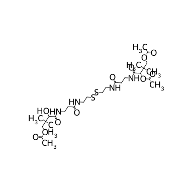 CC(=O)OCC(C)(C)C(O)C(=O)NCCC(=O)NCCSSCCNC(=O)CCNC(=O)C(OC(C)=O)C(C)(C)COC(C)=O